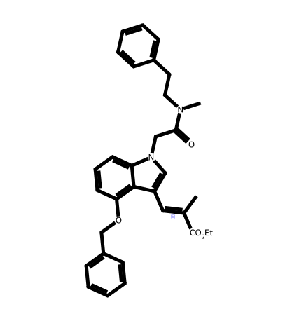 CCOC(=O)/C(C)=C/c1cn(CC(=O)N(C)CCc2ccccc2)c2cccc(OCc3ccccc3)c12